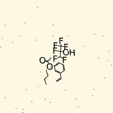 C=Cc1ccccc1.CCCCOC(C)=O.OC(F)(C(F)F)C(F)(F)F